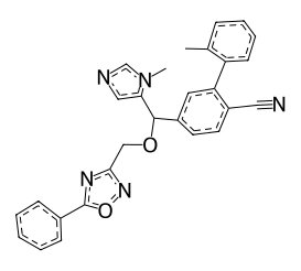 Cc1ccccc1-c1cc(C(OCc2noc(-c3ccccc3)n2)c2cncn2C)ccc1C#N